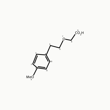 COc1ccc(CCOCC(=O)O)cc1